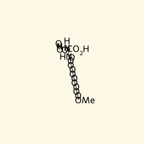 COCCOCCOCCOCCOCCOCCOCCOCCOCCOCC(=O)NCCCC[C@H](NC(=O)CCCN1C(=O)C=CC1=O)C(=O)O